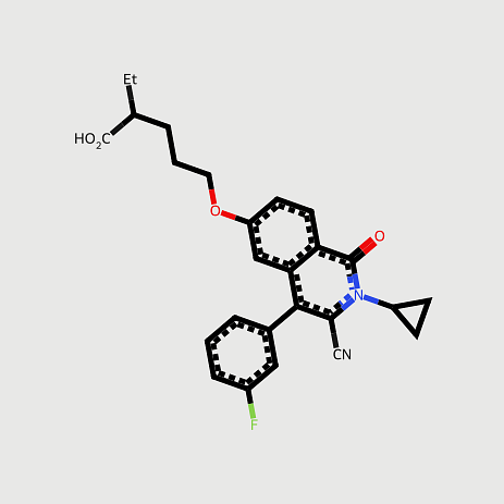 CCC(CCCOc1ccc2c(=O)n(C3CC3)c(C#N)c(-c3cccc(F)c3)c2c1)C(=O)O